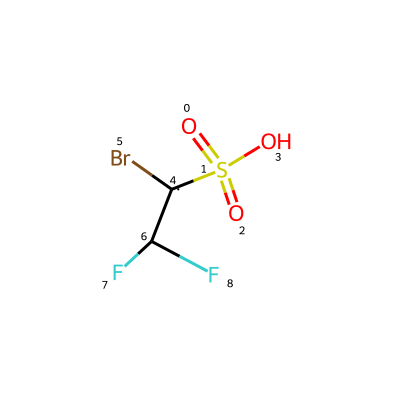 O=S(=O)(O)[C](Br)C(F)F